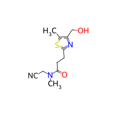 Cc1sc(CCC(=O)N(C)CC#N)nc1CO